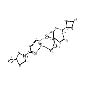 OC1CCN(c2ccc3c(c2)COC2(CCN(C4CCC4)CC2)O3)C1